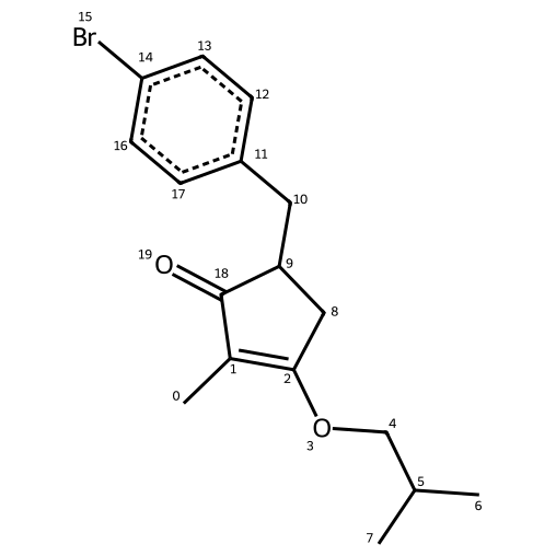 CC1=C(OCC(C)C)CC(Cc2ccc(Br)cc2)C1=O